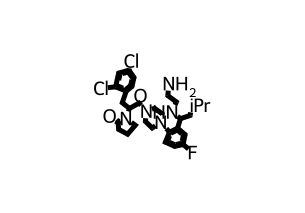 CC(C)CC(NCCN)c1cc(F)ccc1N1CCN(C(=O)C(Cc2ccc(Cl)cc2Cl)N2CCCC2=O)CC1